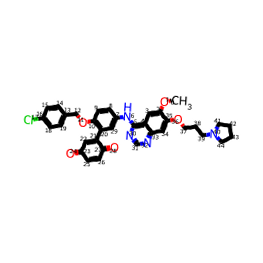 COc1cc2c(Nc3ccc(OCc4ccc(Cl)cc4)c(C4=CC(=O)C=CC4=O)c3)ncnc2cc1OCCCN1CCCC1